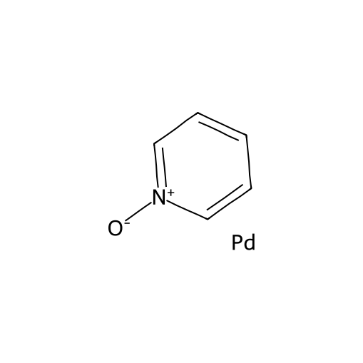 [O-][n+]1ccccc1.[Pd]